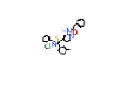 Cc1cccc(-c2nc(-c3ccccc3Cl)sc2-c2ccnc(NC(=O)Cc3ccccc3)c2)c1